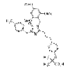 COc1cc(OC)c(Cn2c(CCCc3ccc(OC(C)(C)C(=O)O)cc3)nn(Cc3ccc(C)cc3)c2=O)c(OC)c1